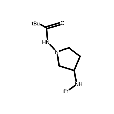 CC(C)NC1CCN(NC(=O)C(C)(C)C)C1